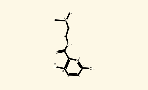 CN(C)CCOC(=O)c1nc(Cl)ccc1Cl